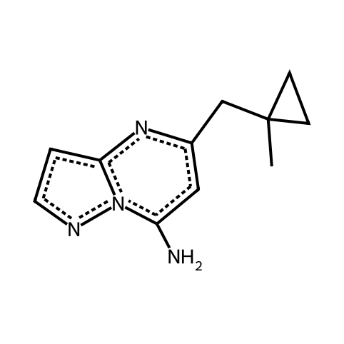 CC1(Cc2cc(N)n3nccc3n2)CC1